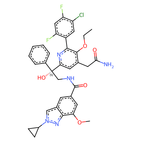 CCOc1c(CC(N)=O)cc([C@@](O)(CNC(=O)c2cc(OC)c3nn(C4CC4)cc3c2)c2ccccc2)nc1-c1cc(Cl)c(F)cc1F